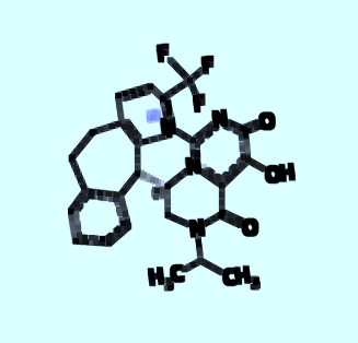 CC(C)N1C[C@H](C2C3=C(C=CCC3)CCc3ccccc32)n2c(/N=C\C(F)(F)F)nc(=O)c(O)c2C1=O